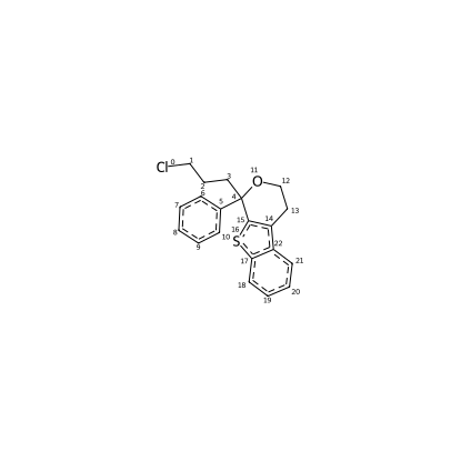 ClCCCC1(c2ccccc2)OCCc2c1sc1ccccc21